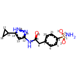 NS(=O)(=O)c1ccc(CC(=O)Nc2cc(C3CC3)[nH]n2)cc1